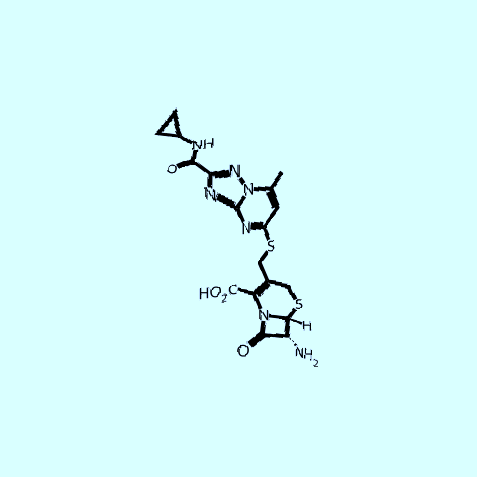 Cc1cc(SCC2=C(C(=O)O)N3C(=O)[C@@H](N)[C@H]3SC2)nc2nc(C(=O)NC3CC3)nn12